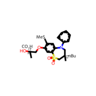 CCCC[C@@]1(C)CN(c2ccccc2)c2cc(SC)c(OC[C@@](C)(O)C(=O)O)cc2S(=O)(=O)C1